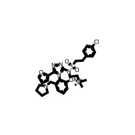 COc1cccc(CN2CCCC2)c1-n1c(-c2ccco2)nnc1N(CC[Si](C)(C)C)S(=O)(=O)CCc1ccc(Cl)cc1